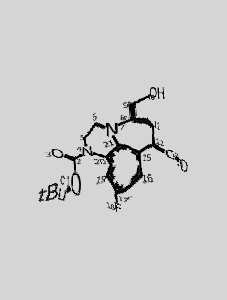 CC(C)(C)OC(=O)N1CCN2C(CO)=CC(=C=O)c3cc(F)cc1c32